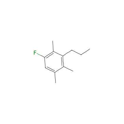 CCCc1c(C)c(C)cc(F)c1C